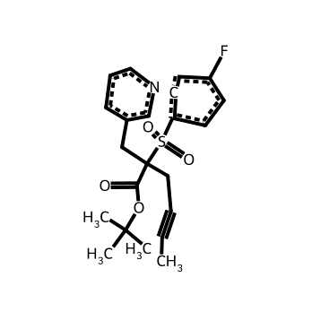 CC#CCC(Cc1cccnc1)(C(=O)OC(C)(C)C)S(=O)(=O)c1ccc(F)cc1